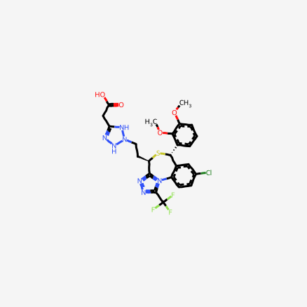 COc1cccc([C@H]2S[C@H](CCN3NN=C(CC(=O)O)N3)c3nnc(C(F)(F)F)n3-c3ccc(Cl)cc32)c1OC